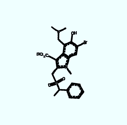 CCOC(=O)c1c(CS(=O)(=O)C(C)c2ccccc2)n(C)c2cc(Br)c(O)c(CN(C)C)c12